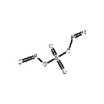 O=POS(=O)(=O)OP=O